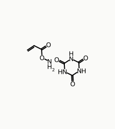 C=CC(=O)ON.O=c1[nH]c(=O)[nH]c(=O)[nH]1